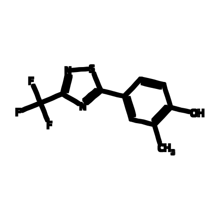 Cc1cc(-c2nc(C(F)(F)F)ns2)ccc1O